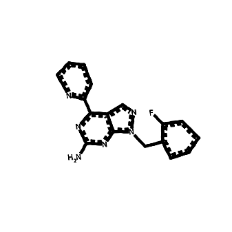 Nc1nc(-c2ccccn2)c2cnn(Cc3ccccc3F)c2n1